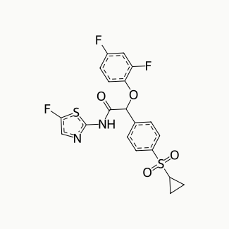 O=C(Nc1ncc(F)s1)C(Oc1ccc(F)cc1F)c1ccc(S(=O)(=O)C2CC2)cc1